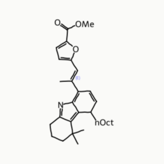 CCCCCCCCC1C=CC(/C(C)=C/c2ccc(C(=O)OC)o2)=C2N=C3CCCC(C)(C)C3=C21